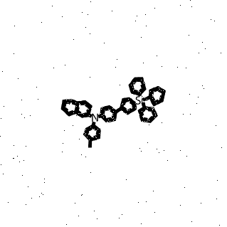 Cc1ccc(N(c2ccc(-c3ccc([Si](c4ccccc4)(c4ccccc4)c4ccccc4)cc3)cc2)c2ccc3ccccc3c2)cc1